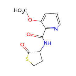 O=C(O)Oc1cccnc1C(=O)NC1CCSC1=O